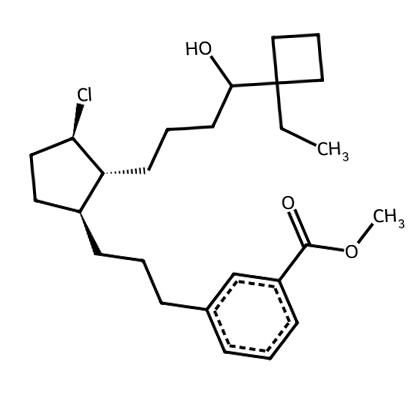 CCC1(C(O)CCC[C@@H]2[C@@H](CCCc3cccc(C(=O)OC)c3)CC[C@H]2Cl)CCC1